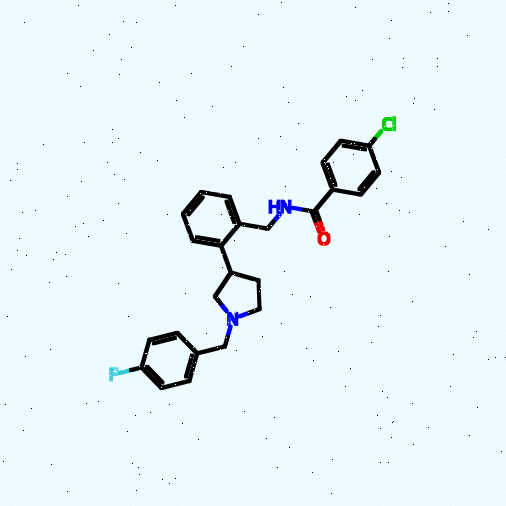 O=C(NCc1ccccc1C1CCN(Cc2ccc(F)cc2)C1)c1ccc(Cl)cc1